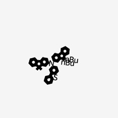 CCCCC1(CCCC)c2ccccc2-c2ccc(N(c3ccc4c(c3)C(C)(C)c3ccccc3-4)c3ccc4sc5ccccc5c4c3)cc21